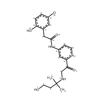 CC(C)(CCO)NCC(=O)c1cc(NC(=O)Cc2cc(Cl)ccc2O)ccn1